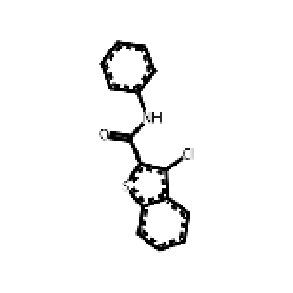 O=C(Nc1ccccc1)c1sc2ccccc2c1Cl